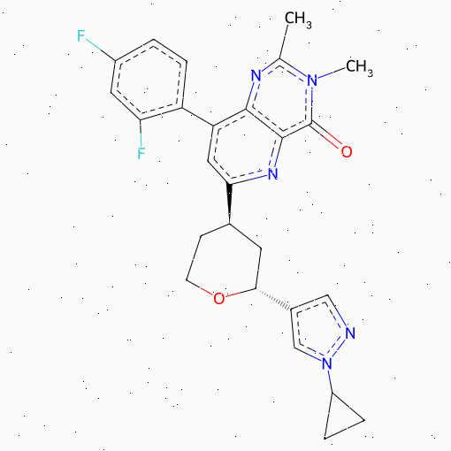 Cc1nc2c(-c3ccc(F)cc3F)cc([C@@H]3CCO[C@@H](c4cnn(C5CC5)c4)C3)nc2c(=O)n1C